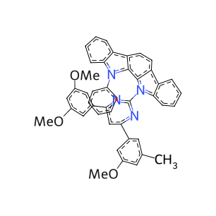 COc1cc(C)cc(-c2cc(-c3cc(OC)cc(OC)c3)nc(-n3c4ccccc4c4ccc5c6ccccc6n(-c6ccccc6)c5c43)n2)c1